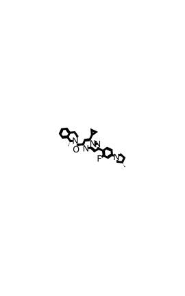 C[C@H]1CCN(c2ccc(-c3cc4nc(C(=O)N5CCc6ccccc6[C@H]5C)cc(C5CC5)n4n3)c(F)c2)C1